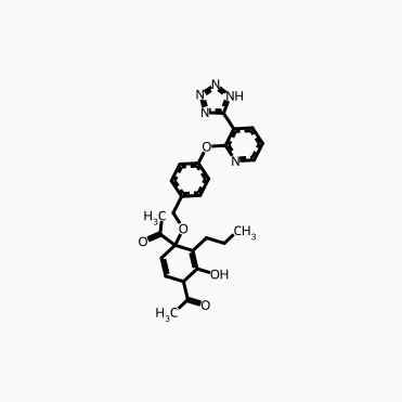 CCCC1=C(O)C(C(C)=O)C=CC1(OCc1ccc(Oc2ncccc2-c2nnn[nH]2)cc1)C(C)=O